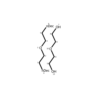 CCCCCCCCCCCCOCCCCCCCCCCCC.OCCOCCO